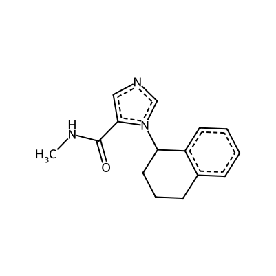 CNC(=O)c1cncn1C1CCCc2ccccc21